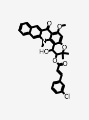 COc1cc2c(c3c1c(=O)c1cc4ccccc4cc1n3C)C(O)C(OC(=O)/C=C/c1cccc(Cl)c1)C(C)(C)O2